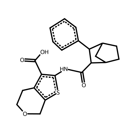 O=C(O)c1c(NC(=O)C2C3CCC(C3)C2c2ccccc2)sc2c1CCOC2